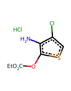 CCOC(=O)Oc1scc(Cl)c1N.Cl